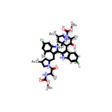 [2H]c1cc(F)cc2c1c(CC1CC(OC(C)=O)CN1C(=O)C(CC)NC(=O)OC(C)(C)C)c(-c1[nH]c3cc(F)ccc3c1C(C(=O)C(CC)NC(=O)OC(C)(C)C)C1([2H])CC(OC(C)=O)CN1[2H])n2[2H]